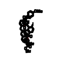 COc1ccc(CN(Cc2ccc(OC)cc2)S(=O)(=O)c2c(S(=O)(=O)[C@H]3CCN(C(=O)OC(C)(C)C)C3)ccc(I)c2-c2nnn(Cc3ccc(OC)cc3)n2)cc1